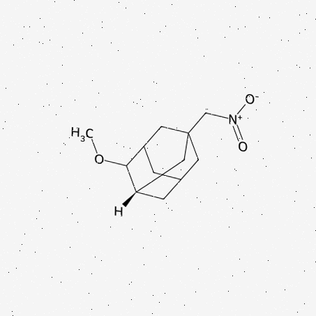 COC1C2CC3C[C@H]1CC(C[N+](=O)[O-])(C3)C2